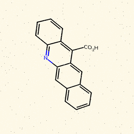 O=C(O)c1c2ccccc2nc2cc3ccccc3cc12